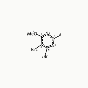 COc1nc(C)nc(Br)c1Br